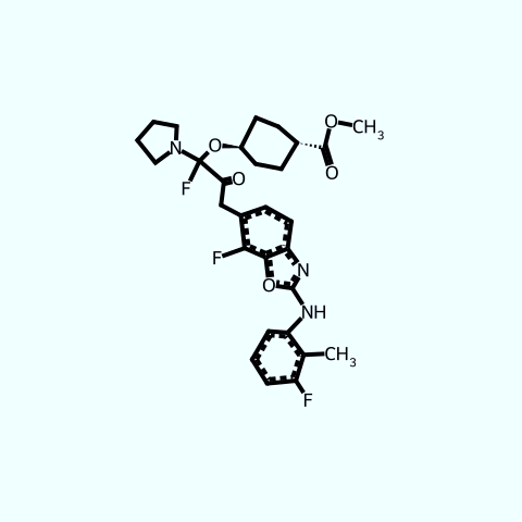 COC(=O)[C@H]1CC[C@H](OC(F)(C(=O)Cc2ccc3nc(Nc4cccc(F)c4C)oc3c2F)N2CCCC2)CC1